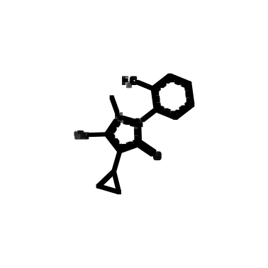 Cn1c(C(C)(C)C)c(C2CC2)c(=O)n1-c1ccccc1C(F)(F)F